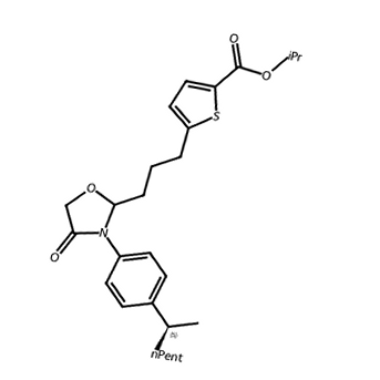 CCCCC[C@H](C)c1ccc(N2C(=O)COC2CCCc2ccc(C(=O)OC(C)C)s2)cc1